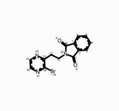 O=C1c2ccccc2C(=O)N1CCc1nccnc1Br